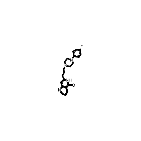 O=c1[nH]c(CCCN2CCN(c3ccc(F)cc3)CC2)cc2ncccc12